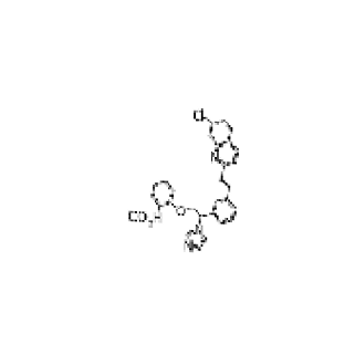 O=C(O)c1ccccc1OCC(c1cccc(/C=C/c2ccc3ccc(Cl)cc3n2)c1)n1ccnc1